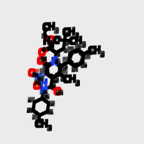 CCOC(=O)C(CC(C)(C)C)n1c(-c2ccc(C)cc2)c(C)c(C(=O)NC2CCC(C)CC2)c([N+](=O)[O-])c1=O